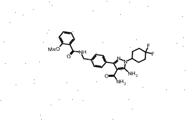 COc1ccccc1C(=O)NCc1ccc(-c2nn(C3CCC(F)(F)CC3)c(N)c2C(N)=O)cc1